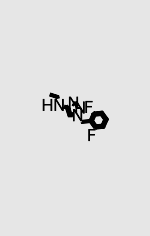 CCNc1cn(Cc2c(F)cccc2F)nn1